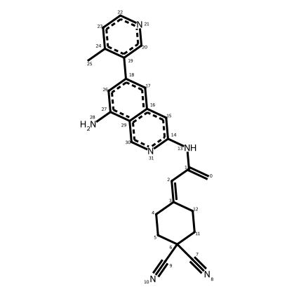 C=C(C=C1CCC(C#N)(C#N)CC1)Nc1cc2cc(-c3cnccc3C)cc(N)c2cn1